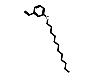 C=Cc1cccc(OCCCCCCCCCCCC)c1